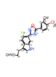 CC(C)Oc1ccc(-c2nc(-c3cc4[nH]cc(CCC=O)c4cc3F)no2)cc1C#N